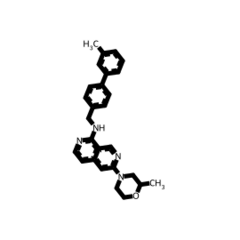 Cc1cccc(-c2ccc(CNc3nccc4cc(N5CCOC(C)C5)ncc34)cc2)c1